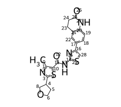 Cc1nc(C2CCOC2)sc1C(=O)Nc1nc(-c2ccc3c(c2)CCC(=O)N3)cs1